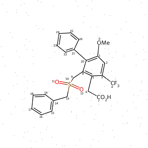 COc1cc(C(F)(F)F)c(CC(=O)O)c(CS(=O)(=O)Cc2ccccc2)c1-c1ccccc1